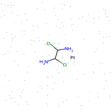 NC(Cl)C(N)Cl.[Pt]